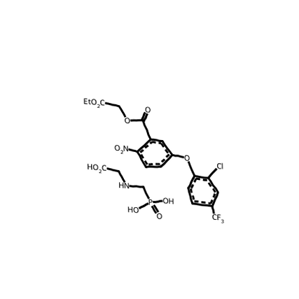 CCOC(=O)COC(=O)c1cc(Oc2ccc(C(F)(F)F)cc2Cl)ccc1[N+](=O)[O-].O=C(O)CNCP(=O)(O)O